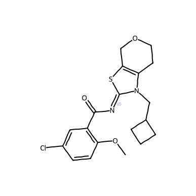 COc1ccc(Cl)cc1C(=O)/N=c1\sc2c(n1CC1CCC1)CCOC2